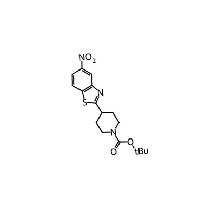 CC(C)(C)OC(=O)N1CCC(c2nc3cc([N+](=O)[O-])ccc3s2)CC1